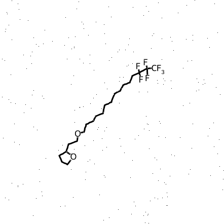 FC(F)(F)C(F)(F)C(F)(F)CCCCCCCCCCCCOCCC1CCCO1